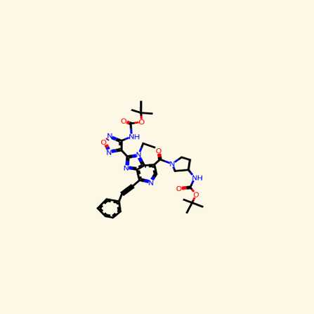 CCn1c(-c2nonc2NC(=O)OC(C)(C)C)nc2c(C#Cc3ccccc3)ncc(C(=O)N3CCC(NC(=O)OC(C)(C)C)C3)c21